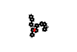 C1=CC(c2ccc3ccccc3c2)=CC(N(c2ccc(-c3ccccc3)cc2)c2ccc(-c3ccc4ccc5oc6ccccc6c5c4c3)cc2-c2ccccc2)C1